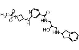 CS(=O)(=O)N1CC(Nc2cc(C(=O)NCC(O)CNC3Cc4ccccc4C3)ccn2)C1